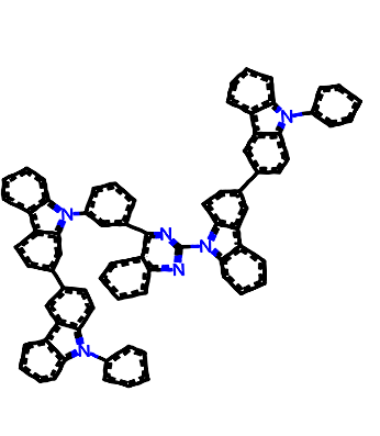 c1ccc(-n2c3ccccc3c3cc(-c4ccc5c(c4)c4ccccc4n5-c4nc(-c5cccc(-n6c7ccccc7c7ccc(-c8ccc9c(c8)c8ccccc8n9-c8ccccc8)cc76)c5)c5ccccc5n4)ccc32)cc1